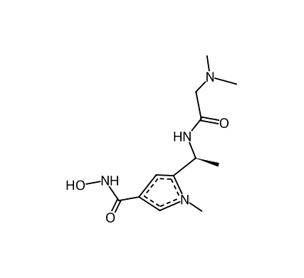 C[C@H](NC(=O)CN(C)C)c1cc(C(=O)NO)cn1C